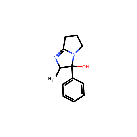 CC1N=C2CCCN2C1(O)c1ccccc1